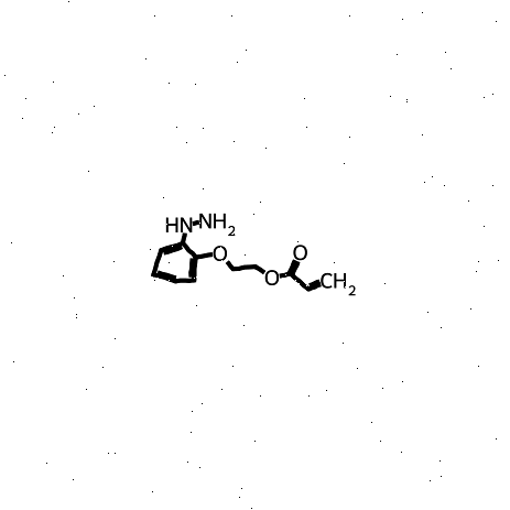 C=CC(=O)OCCOc1ccccc1NN